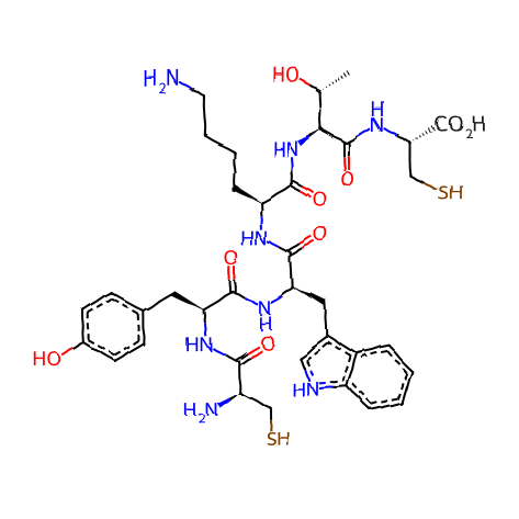 C[C@@H](O)[C@H](NC(=O)[C@H](CCCCN)NC(=O)[C@@H](Cc1c[nH]c2ccccc12)NC(=O)[C@H](Cc1ccc(O)cc1)NC(=O)[C@H](N)CS)C(=O)N[C@@H](CS)C(=O)O